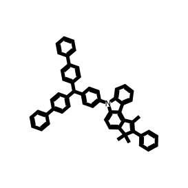 CC1=C(c2ccccc2)C(C)(C)c2ccc3c(c21)c1ccccc1n3-c1ccc(C(c2ccc(-c3ccccc3)cc2)c2ccc(-c3ccccc3)cc2)cc1